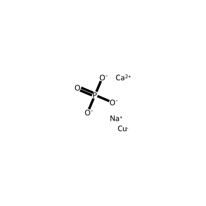 O=P([O-])([O-])[O-].[Ca+2].[Cu].[Na+]